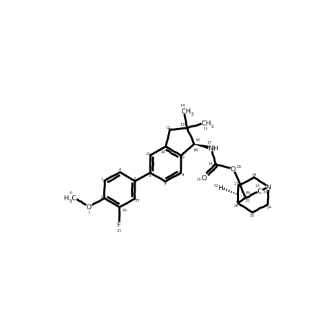 COc1ccc(-c2ccc3c(c2)CC(C)(C)[C@H]3NC(=O)O[C@H]2CN3CCC2CC3)cc1F